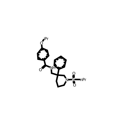 CCCS(=O)(=O)N1CCCC(CNC(=O)c2ccc(OC(C)C)cc2)(c2ccccc2)C1